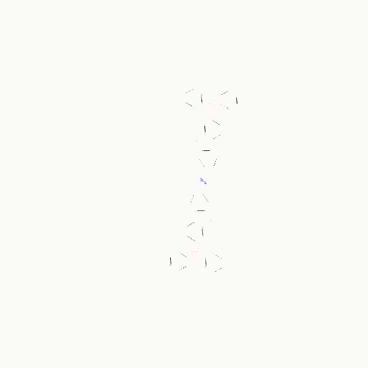 CC1(C)c2cc(/C=C/c3ccc4c(c3)C(C)(C)c3cc(B(c5ccccc5)c5ccccc5)ccc3-4)ccc2-c2ccc(B(c3ccccc3)c3ccccc3)cc21